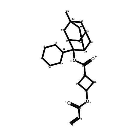 C=CC(=O)OC1CC(C(=O)OC2(C3CCCCC3)C3CC4CC2CC(C)(C4)C3)C1